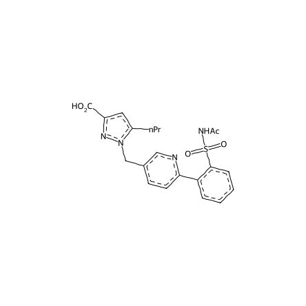 CCCc1cc(C(=O)O)nn1Cc1ccc(-c2ccccc2S(=O)(=O)NC(C)=O)nc1